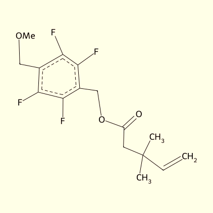 C=CC(C)(C)CC(=O)OCc1c(F)c(F)c(COC)c(F)c1F